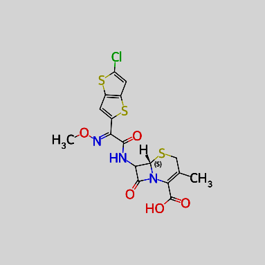 CON=C(C(=O)NC1C(=O)N2C(C(=O)O)=C(C)CS[C@@H]12)c1cc2sc(Cl)cc2s1